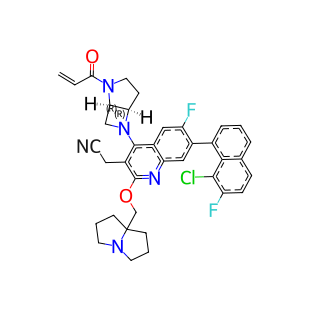 C=CC(=O)N1CC[C@@H]2[C@H]1CN2c1c(CC#N)c(OCC23CCCN2CCC3)nc2cc(-c3cccc4ccc(F)c(Cl)c34)c(F)cc12